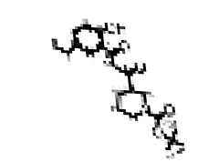 CCc1ccc(O)c(C(=O)CC(=O)C2CCCN(C(=O)OC(C)(C)C)C2)c1